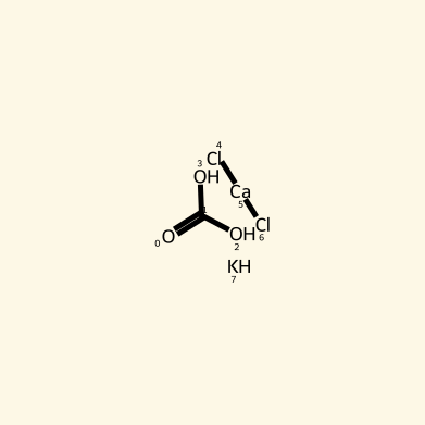 O=C(O)O.[Cl][Ca][Cl].[KH]